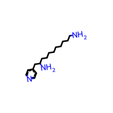 NCCCCCCCCCC(N)Cc1ccncc1